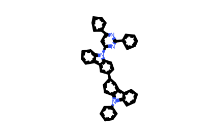 c1ccc(-c2cc(-n3c4ccccc4c4cc(-c5ccc6c(c5)c5ccccc5n6-c5ccccc5)ccc43)nc(-c3ccccc3)n2)cc1